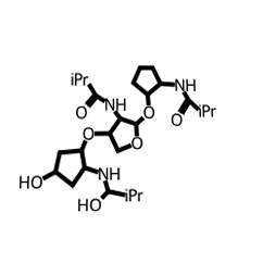 CC(C)C(=O)NC1CCCC1OC1OCC(OC2CC(O)CC2NC(O)C(C)C)C1NC(=O)C(C)C